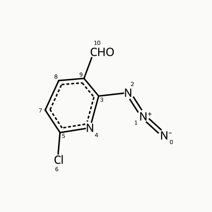 [N-]=[N+]=Nc1nc(Cl)ccc1C=O